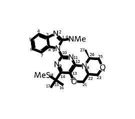 CNc1nc2ccccc2n1-c1nc2c(c(C(C)(C)SC)n1)OCC1COC[C@H](C)N21